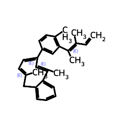 C=C/C(C)=C(\C)c1cc(C2=C/C=C(\C)Cc3ccccc3\C(C)=C\2)ccc1C